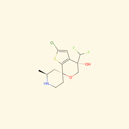 C[C@H]1C[C@@]2(CCN1)OC[C@](O)(C(F)F)c1cc(Cl)sc12